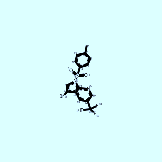 Cc1ccc(S(=O)(=O)n2cc(Br)c3cc(C(F)(F)F)cnc32)cc1